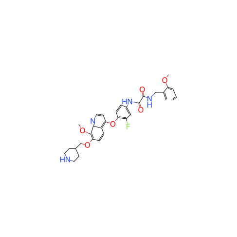 COc1ccccc1CNC(=O)C(=O)Nc1ccc(Oc2ccnc3c(OC)c(OCC4CCNCC4)ccc23)c(F)c1